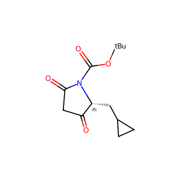 CC(C)(C)OC(=O)N1C(=O)CC(=O)[C@H]1CC1CC1